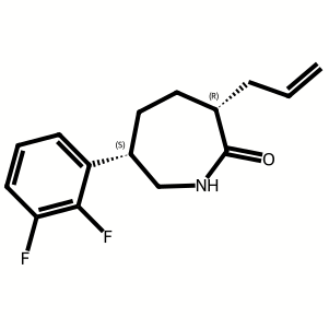 C=CC[C@H]1CC[C@@H](c2cccc(F)c2F)CNC1=O